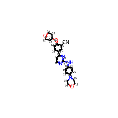 N#Cc1cc(-c2ccnc(Nc3ccc(N4CCOCC4)cc3)n2)ccc1OC1CCOCC1